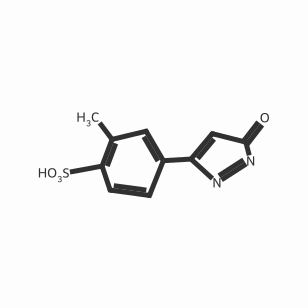 Cc1cc(C2=CC(=O)N=N2)ccc1S(=O)(=O)O